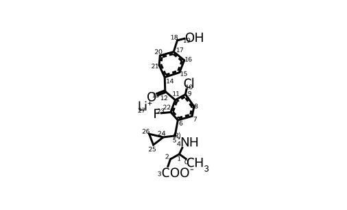 CC(CC(=O)[O-])N[C@@H](c1ccc(Cl)c(C(=O)c2ccc(CO)cc2)c1F)C1CC1.[Li+]